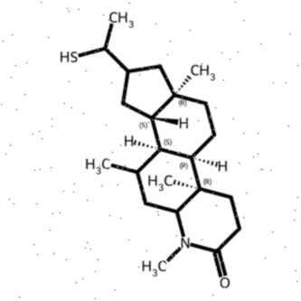 CC(S)C1C[C@H]2[C@@H]3C(C)CC4N(C)C(=O)CC[C@]4(C)[C@@H]3CC[C@]2(C)C1